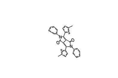 Cc1ccc(C2=C3C(=O)N(c4ccccc4)C(c4ccc(C)s4)=C3C(=O)N2c2ccccc2)s1